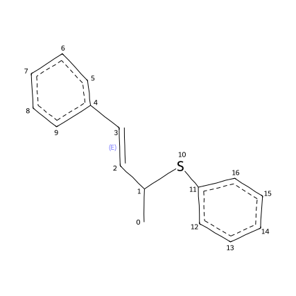 CC(/C=C/c1ccccc1)Sc1ccccc1